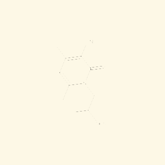 CCCCC(CC)Cn1c(C)cc(C)c(C#N)c1=O